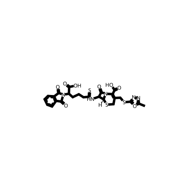 Cc1nnc(SCC2=C(C(=O)O)N3C(=O)C(NC(=S)CCCC(C(=O)O)N4C(=O)c5ccccc5C4=O)[C@@H]3SC2)o1